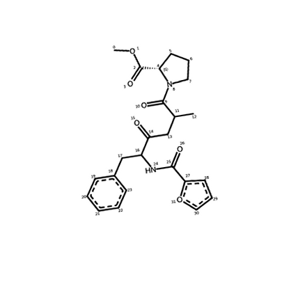 COC(=O)[C@@H]1CCCN1C(=O)C(C)CC(=O)C(Cc1ccccc1)NC(=O)c1ccco1